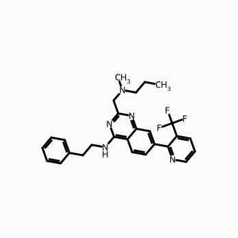 CCCN(C)Cc1nc(NCCc2ccccc2)c2ccc(-c3ncccc3C(F)(F)F)cc2n1